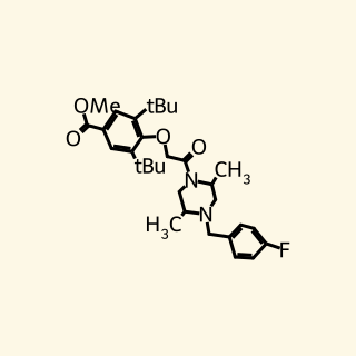 COC(=O)c1cc(C(C)(C)C)c(OCC(=O)N2CC(C)N(Cc3ccc(F)cc3)CC2C)c(C(C)(C)C)c1